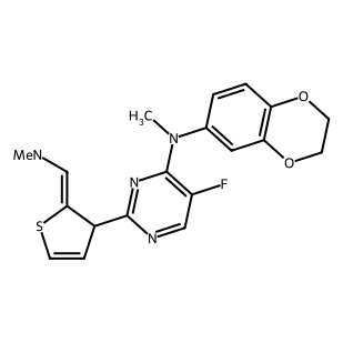 CNC=C1SC=CC1c1ncc(F)c(N(C)c2ccc3c(c2)OCCO3)n1